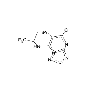 CC(C)c1c(Cl)nc2ncnn2c1NC(C)C(F)(F)F